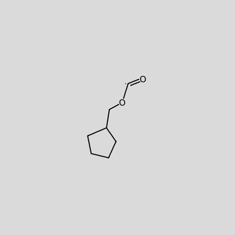 O=[C]OCC1CCCC1